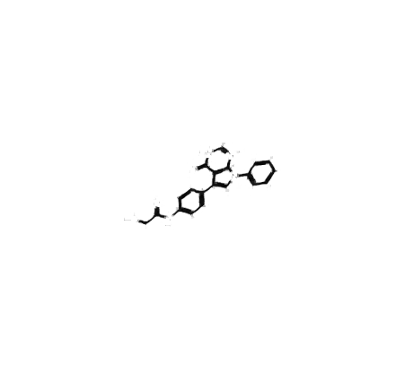 O=C(CO)Nc1ccc(-c2cn(-c3ccccc3)c3nc[nH]c(=O)c23)cc1